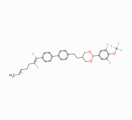 C/C=C/CC/C(F)=C(\F)c1ccc(-c2ccc(CCC3COC(c4cc(F)c(OC(F)(F)F)c(F)c4)OC3)cc2)cc1